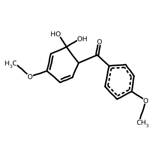 COC1=CC(O)(O)C(C(=O)c2ccc(OC)cc2)C=C1